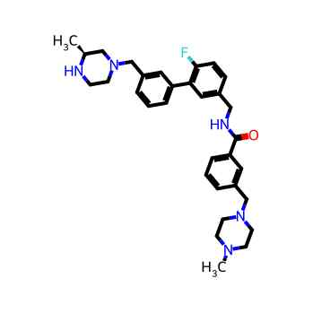 C[C@H]1CN(Cc2cccc(-c3cc(CNC(=O)c4cccc(CN5CCN(C)CC5)c4)ccc3F)c2)CCN1